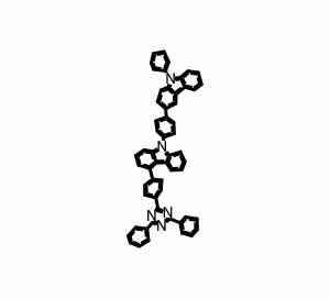 c1ccc(-c2nc(-c3ccccc3)nc(-c3ccc(-c4cccc5c4c4ccccc4n5-c4ccc(-c5ccc6c(c5)c5ccccc5n6-c5ccccc5)cc4)cc3)n2)cc1